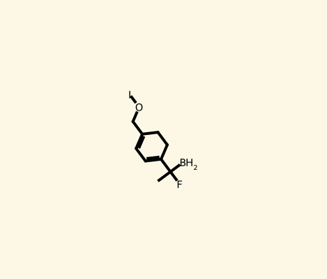 BC(C)(F)C1=CC=C(COI)CC1